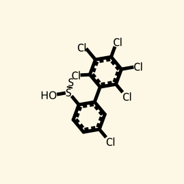 OS(=S)c1ccc(Cl)cc1-c1c(Cl)c(Cl)c(Cl)c(Cl)c1Cl